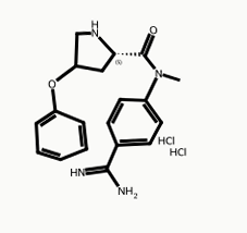 CN(C(=O)[C@@H]1CC(Oc2ccccc2)CN1)c1ccc(C(=N)N)cc1.Cl.Cl